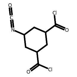 O=C=NC1CC(C(=O)Cl)CC(C(=O)Cl)C1